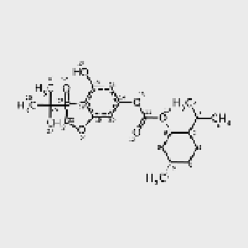 CC(C)C1CC[C@H](C)C[C@@H]1OC(=O)Oc1cc(O)c2c(c1)OCP2(=O)C(C)(C)C